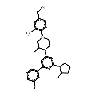 CC1CN(c2ncc(CO)cc2C(F)(F)F)CCN1c1cc(-c2cncc(Cl)c2)nc(N2CCCC2C)n1